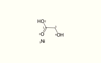 O=C(O)CO.[Ni]